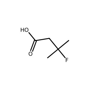 CC(C)(F)CC(=O)O